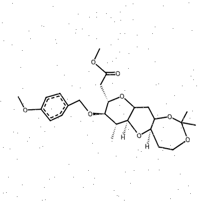 COC(=O)C[C@@H]1OC2CC3OC(C)(C)OCC[C@H]3O[C@H]2[C@H](C)[C@H]1OCc1ccc(OC)cc1